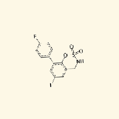 O=S1(=O)NCc2cc(F)cc(-c3ccc(F)cc3)c2O1